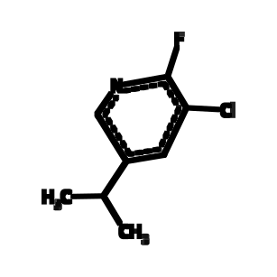 CC(C)c1cnc(F)c(Cl)c1